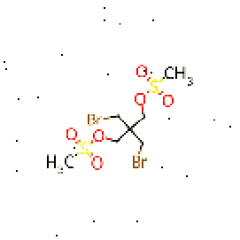 CS(=O)(=O)OCC(CBr)(CBr)COS(C)(=O)=O